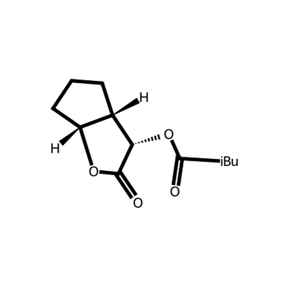 CCC(C)C(=O)O[C@@H]1C(=O)O[C@@H]2CCC[C@H]12